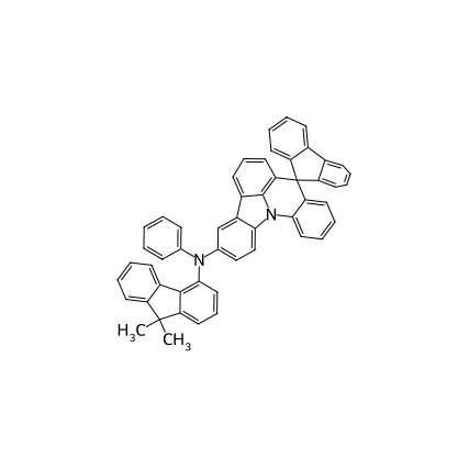 CC1(C)c2ccccc2-c2c(N(c3ccccc3)c3ccc4c(c3)c3cccc5c3n4-c3ccccc3C53c4ccccc4-c4ccccc43)cccc21